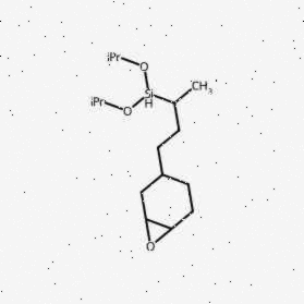 CC(C)O[SiH](OC(C)C)C(C)CCC1CCC2OC2C1